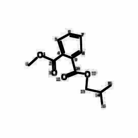 COC(=O)c1ccccc1C(=O)OCC(C)C